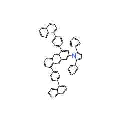 c1ccc(-c2ccc(-c3ccccc3)n2-c2cc(-c3ccc(-c4cccc5ccccc45)cc3)c3cc4cccc(-c5ccc(-c6cccc7ccccc67)cc5)c4cc3c2)cc1